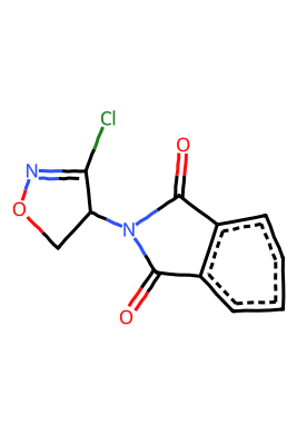 O=C1c2ccccc2C(=O)N1C1CON=C1Cl